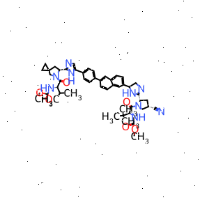 COC(=O)N[C@H](C(=O)N1CC2(CC2)C[C@H]1c1ncc(-c2ccc(-c3ccc4cc(C5CN=C([C@@H]6C[C@H](C#N)CN6C(=O)[C@@H](NC(=O)OC)C(C)(C)C)N5)ccc4c3)cc2)[nH]1)C(C)C